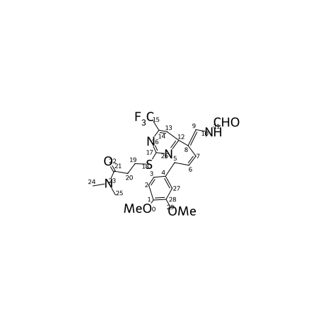 COc1ccc(C/C=C\C(=C/NC=O)c2cc(C(F)(F)F)nc(SCCC(=O)N(C)C)n2)cc1OC